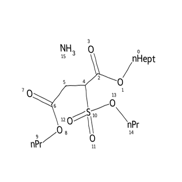 CCCCCCCOC(=O)C(CC(=O)OCCC)S(=O)(=O)OCCC.N